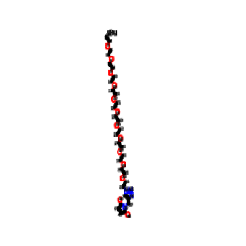 CC(C)(C)CCOCCOCCOCCOCCOCCOCCOCCOCCOCCOCCOCCn1cc(CN2C(=O)C=CC2=O)nn1